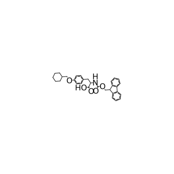 O=C(NC(Cc1ccc(OCC2CCCCC2)cc1)C(=O)O)OCC1c2ccccc2-c2ccccc21